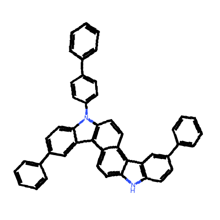 c1ccc(-c2ccc(-n3c4ccc(-c5ccccc5)cc4c4c5ccc6[nH]c7ccc(-c8ccccc8)cc7c6c5ccc43)cc2)cc1